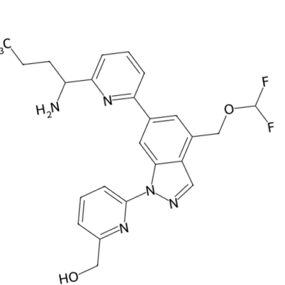 CCCC(N)c1cccc(-c2cc(COC(F)F)c3cnn(-c4cccc(CO)n4)c3c2)n1